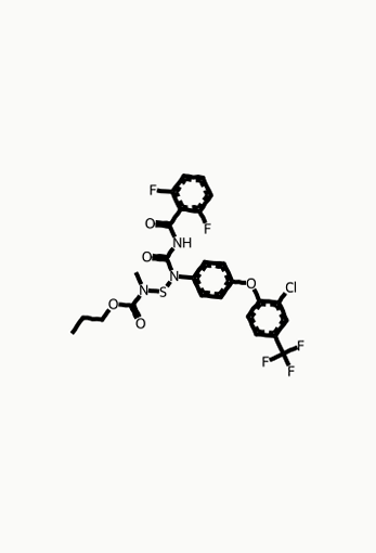 CCCOC(=O)N(C)SN(C(=O)NC(=O)c1c(F)cccc1F)c1ccc(Oc2ccc(C(F)(F)F)cc2Cl)cc1